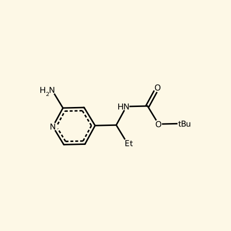 CCC(NC(=O)OC(C)(C)C)c1ccnc(N)c1